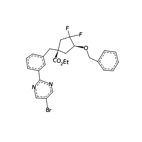 CCOC(=O)[C@]1(Cc2cccc(-c3ncc(Br)cn3)c2)C[C@H](OCc2ccccc2)C(F)(F)C1